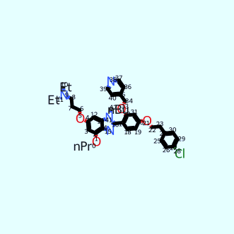 [CH2]CCOc1cc(OCCCN(CC)CC)cc2c1nc(-c1ccc(OCCc3ccc(Cl)cc3)cc1OCc1ccncc1)n2CCCC